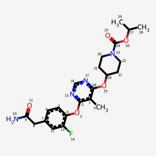 Cc1c(Oc2ccc(CC(N)=O)cc2F)ncnc1OC1CCN(C(=O)OC(C)C)CC1